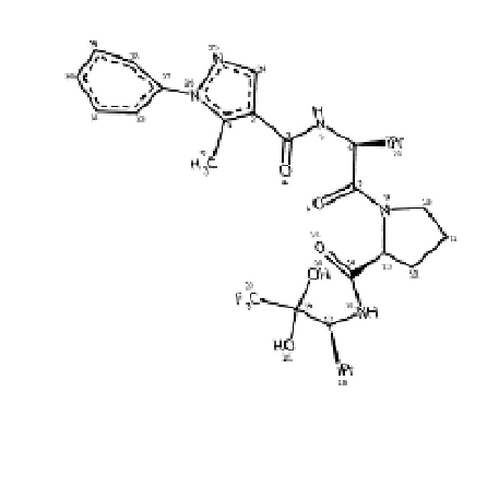 Cc1c(C(=O)N[C@H](C(=O)N2CCC[C@H]2C(=O)N[C@@H](C(C)C)C(O)(O)C(F)(F)F)C(C)C)cnn1-c1ccccc1